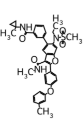 CCN(c1cc2oc(-c3ccc(Oc4cccc(C)c4)cc3)c(C(=O)NC)c2cc1-c1cccc(C(=O)NC2(C)CC2)c1)S(C)(=O)=O